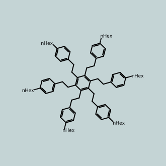 CCCCCCc1ccc(CCc2c(CCc3ccc(CCCCCC)cc3)c(CCc3ccc(CCCCCC)cc3)c(CCc3ccc(CCCCCC)cc3)c(CCc3ccc(CCCCCC)cc3)c2CCc2ccc(CCCCCC)cc2)cc1